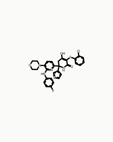 O=C1NC(c2ccsc2)(c2ccc(N3CCOCC3)c(Nc3ccc(F)cc3)n2)CC(O)=C1Sc1ccccc1Cl